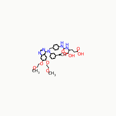 C#Cc1cccc(N(Cc2ccc(NC(=O)N[C@@H](CCC(=O)O)C(=O)O)cc2)c2ncnc3cc(OCCOC)c(OCCOC)cc23)c1